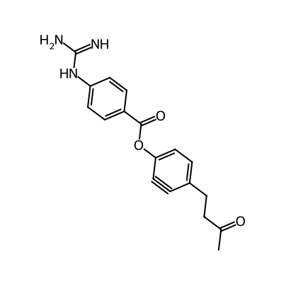 CC(=O)CCc1c#cc(OC(=O)c2ccc(NC(=N)N)cc2)cc1